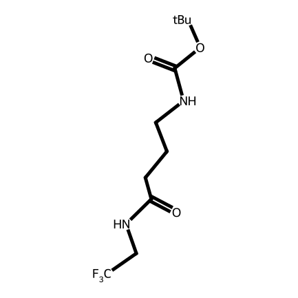 CC(C)(C)OC(=O)NCCCC(=O)NCC(F)(F)F